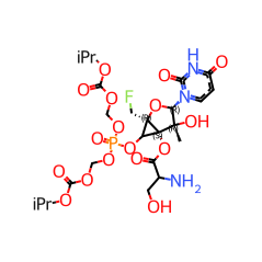 CC(C)OC(=O)OCOP(=O)(OCOC(=O)OC(C)C)OC1[C@]2(OC(=O)C(N)CO)[C@@](C)(O)[C@H](n3ccc(=O)[nH]c3=O)O[C@]12CF